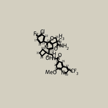 COc1cc(C(=O)NC[C@](O)(c2cc3c(c(-c4ccc(F)c(Cl)c4)n2)OC[C@]3(C)C(N)=O)C2CCC2)cc2cc(C(F)(F)F)cnc12